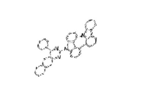 c1ccc(-c2nc(-n3c4cccc5c6cccc7c8ccccc8n(c8cccc3c8c54)c67)nc3cc4ccccc4cc23)cc1